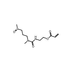 C=CC(=O)OCCNC(=O)N(C)CCC[Si](C)=O